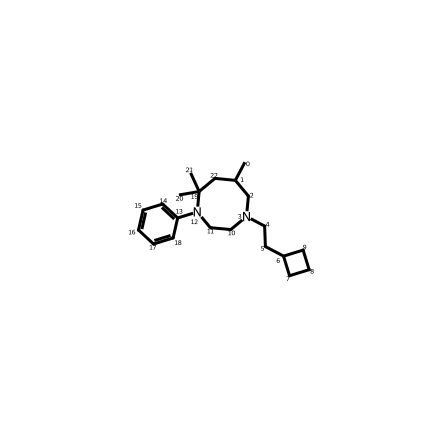 CC1CN(CCC2CCC2)CCN(c2ccccc2)C(C)(C)C1